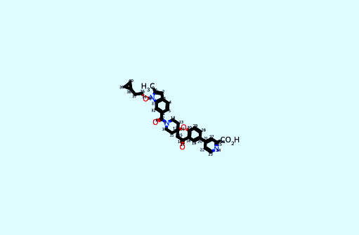 Cc1cc2ccc(C(=O)N3CCC4(CC3)CC(=O)c3cc(-c5ccnc(C(=O)O)c5)ccc3O4)cc2n1OCCC1CC1